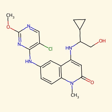 COc1ncc(Cl)c(Nc2ccc3c(c2)c(NC(CO)C2CC2)cc(=O)n3C)n1